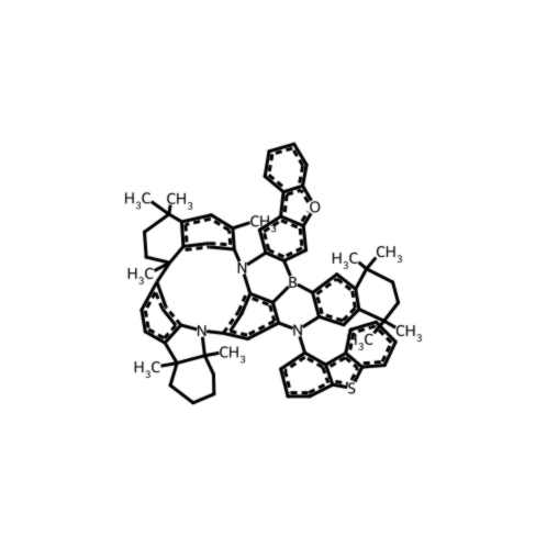 Cc1cc2c3cc1N1c4cc5c(cc4B4c6cc7c(cc6N(c6cccc8sc9ccccc9c68)c6cc(cc1c64)N1c4cc(ccc4C4(C)CCCCC14C)C3(C)CCC2(C)C)C(C)(C)CCC7(C)C)oc1ccccc15